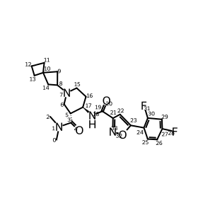 CN(C)C(=O)[C@@H]1CN(C2CC3(CCC3)C2)CC[C@H]1NC(=O)c1cc(-c2ccc(F)cc2F)on1